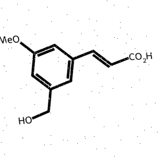 COc1cc(/C=C/C(=O)O)cc(CO)c1